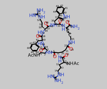 CC(=O)NCC[C@@H]1NC(=O)[C@@H](NC(=O)C(CCCNC(=N)N)NC(C)=O)CCC(=O)NCCCC(C(N)=O)NC(=O)[C@H](Cc2c[nH]c3ccccc23)NC(=O)[C@H](CCCNC(=N)N)NC(=O)C(Cc2ccccc2)NC1=O